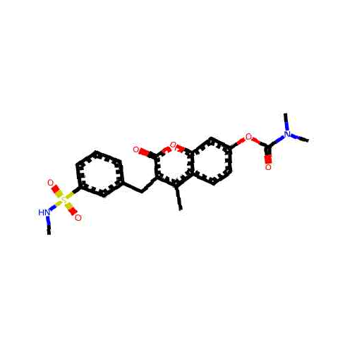 CNS(=O)(=O)c1cccc(Cc2c(C)c3ccc(OC(=O)N(C)C)cc3oc2=O)c1